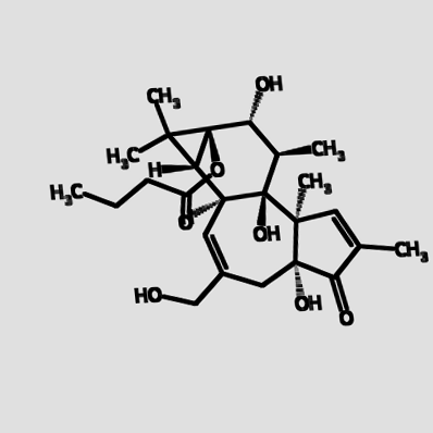 CCCC(=O)O[C@@]12[C@H](O)[C@@H](C)[C@@]3(O)[C@@H](C=C(CO)C[C@]4(O)C(=O)C(C)=C[C@]34C)[C@@H]1C2(C)C